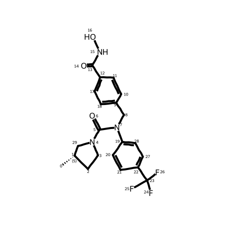 C[C@H]1CCN(C(=O)N(Cc2ccc(C(=O)NO)cc2)c2ccc(C(F)(F)F)cc2)C1